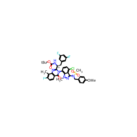 COc1ccc(CN(c2nn(C)c3c(-n4c([C@H](Cc5cc(F)cc(F)c5)NC(=O)OC(C)(C)C)nc5c(C)c(F)ccc5c4=O)ccc(Cl)c23)S(C)(=O)=O)cc1